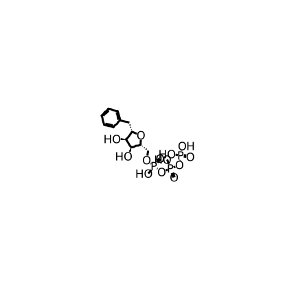 O=P(O)(O)OP(=O)(O)OP(=O)(O)OC[C@H]1O[C@@H](Cc2ccccc2)[C@H](O)[C@@H]1O